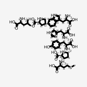 CC(C)CC(N)C(=O)O.CSCCC(N)C(=O)O.NC(Cc1c[nH]c2ccccc12)C(=O)O.NC(Cc1c[nH]cn1)C(=O)O.NC(Cc1ccc(O)cc1)C(=O)O.O=C(O)[C@@H]1CCCN1.O=C(O)[C@@H]1CCCN1